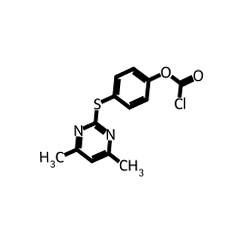 Cc1cc(C)nc(Sc2ccc(OC(=O)Cl)cc2)n1